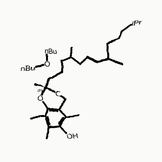 CCCCOCCCC.Cc1c(C)c2c(c(C)c1O)CC[C@@](C)(CCCC(C)CCCC(C)CCCC(C)C)O2